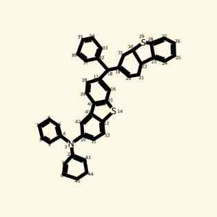 C1=CC(N(c2ccccc2)c2ccc3sc4cc(C(C5=CCC6c7ccccc7SC6C5)c5ccccc5)ccc4c3c2)=CCC1